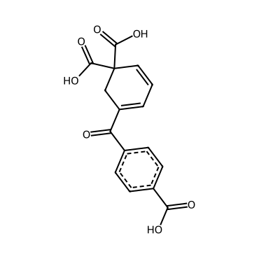 O=C(O)c1ccc(C(=O)C2=CC=CC(C(=O)O)(C(=O)O)C2)cc1